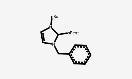 CCCCCC1N(CCCC)C=CN1Cc1ccccc1